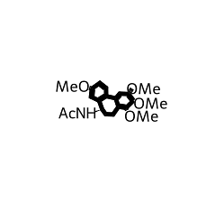 COc1ccc2c(c1)[C@@H](NC(C)=O)CCc1c-2cc(OC)c(OC)c1OC